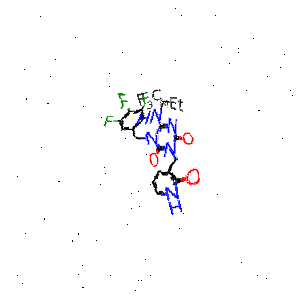 CC[C@@H](Nc1nc(=O)n(Cc2ccc[nH]c2=O)c(=O)n1Cc1cc(F)c(F)c(F)c1)C(F)(F)F